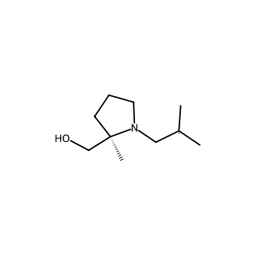 C[C](C)CN1CCC[C@]1(C)CO